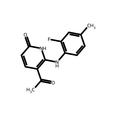 CC(=O)c1ccc(=O)[nH]c1Nc1ccc(C)cc1F